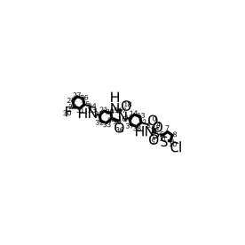 O=C(NS(=O)(=O)c1ccc(Cl)s1)c1ccc(-n2c(=O)[nH]c3cc(NCc4cccc(F)c4)ccc3c2=O)cc1